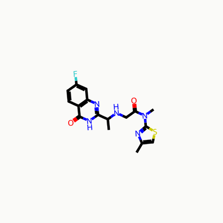 Cc1csc(N(C)C(=O)CNC(C)c2nc3cc(F)ccc3c(=O)[nH]2)n1